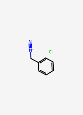 N#[N+]Cc1ccccc1.[Cl-]